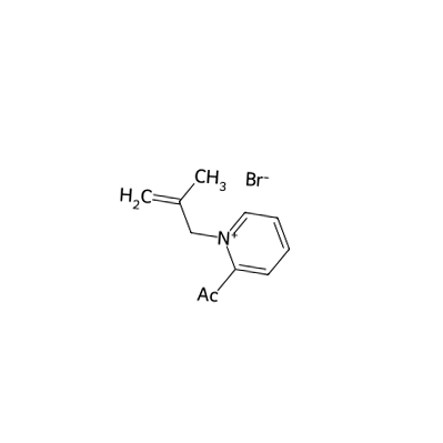 C=C(C)C[n+]1ccccc1C(C)=O.[Br-]